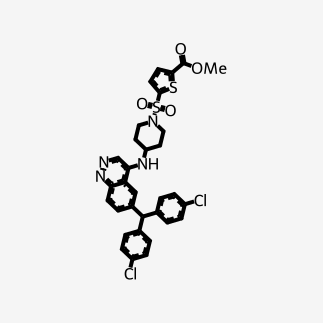 COC(=O)c1ccc(S(=O)(=O)N2CCC(Nc3cnnc4ccc(C(c5ccc(Cl)cc5)c5ccc(Cl)cc5)cc34)CC2)s1